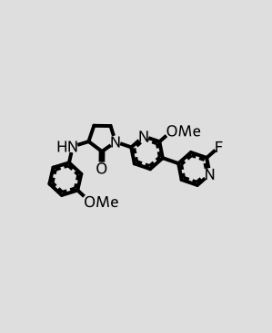 COc1cccc(NC2CCN(c3ccc(-c4ccnc(F)c4)c(OC)n3)C2=O)c1